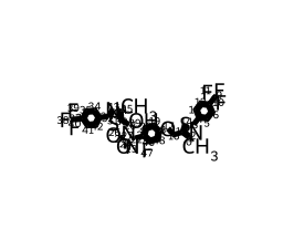 Cc1nc(-c2ccc(C(F)(F)F)cc2)sc1COc1ccc(-c2noc(=O)n2C(O)c2sc(-c3ccc(C(F)(F)F)cc3)nc2C)c(F)c1